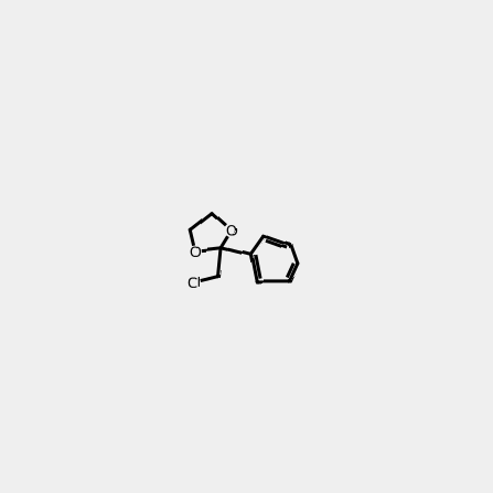 ClCC1(c2ccccc2)OCCO1